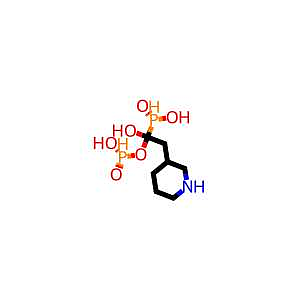 O=[PH](O)OC(O)(CC1CCCNC1)[PH](=O)O